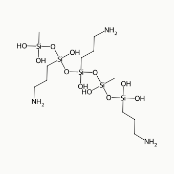 C[Si](O)(O)O[Si](O)(CCCN)O[Si](O)(CCCN)O[Si](C)(O)O[Si](O)(O)CCCN